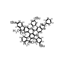 CC(C)(C)c1ccc(N2B3c4cc5nc(-c6ccccc6)sc5cc4-n4c5ccc(C(C)(C)C)cc5c5c6c(c(c3c54)-c3cc4c(cc32)-c2ccc(C(C)(C)C)cc2C4(C)C)-c2ccccc2C6(C)C)cc1